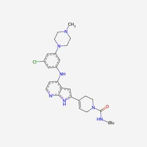 CN1CCN(c2cc(Cl)cc(Nc3ccnc4[nH]c(C5=CCN(C(=O)NC(C)(C)C)CC5)cc34)c2)CC1